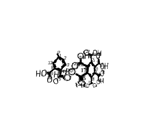 Cc1ccc(C(=O)O)c(C(=O)O)c1.O=C(O)c1c(C(=O)O)c(C(=O)O)c(C(=O)O)c(C(=O)O)c1C(=O)O